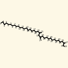 CCCCCCCCCCCCCCCCCCCCC(C)CC(C)CCCCCCCCCCCC(C)CC